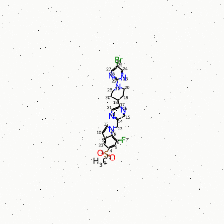 CS(=O)(=O)c1cc(F)c2c(ccn2Cc2cnc(C3CCN(c4ncc(Br)cn4)CC3)cn2)c1